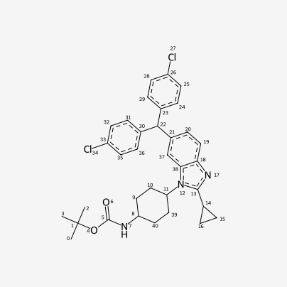 CC(C)(C)OC(=O)NC1CCC(n2c(C3CC3)nc3ccc(C(c4ccc(Cl)cc4)c4ccc(Cl)cc4)cc32)CC1